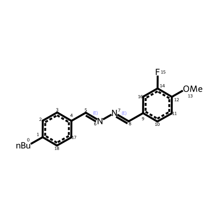 CCCCc1ccc(/C=N/N=C/c2ccc(OC)c(F)c2)cc1